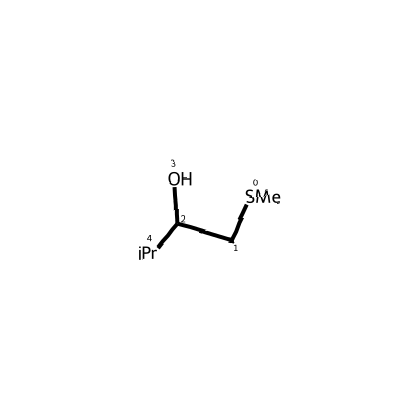 CSCC(O)C(C)C